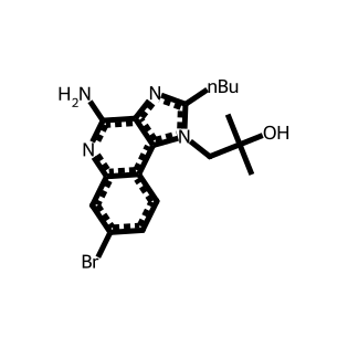 CCCCc1nc2c(N)nc3cc(Br)ccc3c2n1CC(C)(C)O